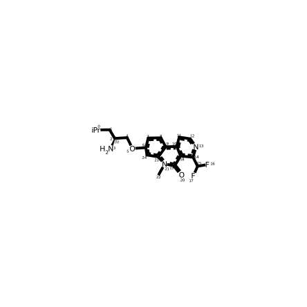 CC(C)C[C@H](N)COc1ccc2c3ccnc(C(F)F)c3c(=O)n(C)c2c1